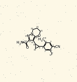 Cc1cc(C#N)c(F)cc1C1CC1c1c(C(N)=O)nn2c1OCCC2